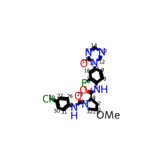 CO[C@@H]1C[C@H](C(=O)Nc2ccc(-n3cncnc3=O)cc2F)N(C(=O)Nc2ccc(Cl)cc2)C1